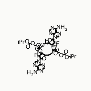 CC(C)OC(=O)OCOP1(=O)CCC2O[C@@H](n3cnc4c(N)ncnc43)[C@H](F)[C@@H]2OP(=O)(OCOC(=O)OC(C)C)OC[C@H]2O[C@@H](n3cnc4c(N)ncnc43)[C@H](F)[C@@H]2O1